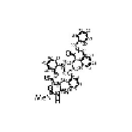 CNC(=O)NC1=Nc2cccc(OCCCC(=O)N(Cc3ccccc3)Cc3ccccc3)c2CN1CC(=O)Oc1ccccc1N(C)C